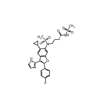 CS(=O)(=O)NC(=O)CCCN(c1cc2oc(-c3ccc(F)cc3)c(-c3ncc[nH]3)c2cc1C1CC1)S(C)(=O)=O